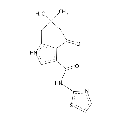 CC1(C)CC(=O)c2c(C(=O)Nc3nccs3)c[nH]c2C1